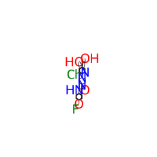 O=C(Nc1ccc(OCF)cc1)N1CCN(c2ncc([C@H](O)CO)cc2Cl)CC1